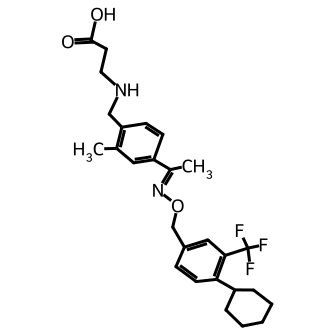 C/C(=N\OCc1ccc(C2CCCCC2)c(C(F)(F)F)c1)c1ccc(CNCCC(=O)O)c(C)c1